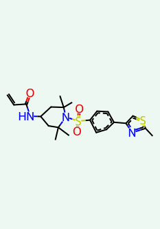 C=CC(=O)NC1CC(C)(C)N(S(=O)(=O)c2ccc(-c3csc(C)n3)cc2)C(C)(C)C1